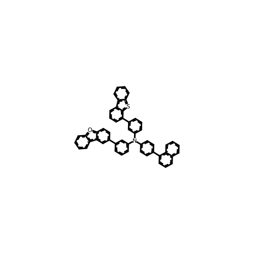 c1cc(-c2ccc3oc4ccccc4c3c2)cc(N(c2ccc(-c3cccc4ccccc34)cc2)c2cccc(-c3cccc4c3sc3ccccc34)c2)c1